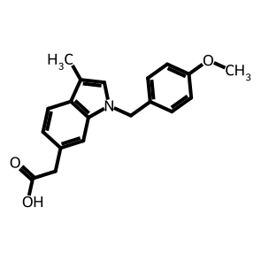 COc1ccc(Cn2cc(C)c3ccc(CC(=O)O)cc32)cc1